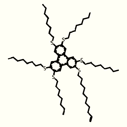 C=CCCCCCCCCCSc1cc2c3cc(SCCCCCCCC)c(SCCCCCCCC)cc3c3cc(SCCCCCCCC)c(SCCCCCCCC)cc3c2cc1SCCCCCCCC